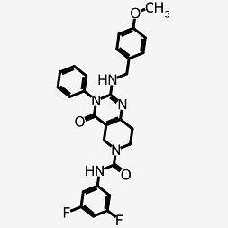 COc1ccc(CNc2nc3c(c(=O)n2-c2ccccc2)CN(C(=O)Nc2cc(F)cc(F)c2)CC3)cc1